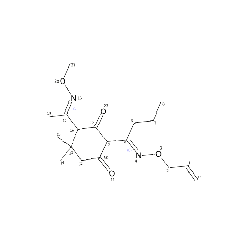 C=CCO/N=C(\CCC)C1C(=O)CC(C)(C)C(/C(C)=N/OC)C1=O